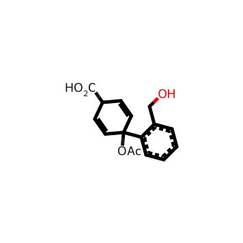 CC(=O)OC1(c2ccccc2CO)C=CC(C(=O)O)C=C1